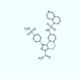 NC(=O)c1nn(-c2ccc(S(N)(=O)=O)cc2)c2c1CCc1ccc(NS(=O)(=O)c3cccc4cnccc34)cc1-2